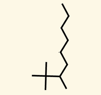 CCCC[CH]CC(C)C(C)(C)C